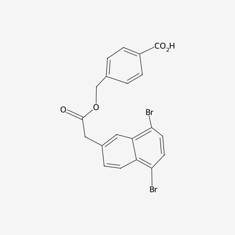 O=C(Cc1ccc2c(Br)ccc(Br)c2c1)OCc1ccc(C(=O)O)cc1